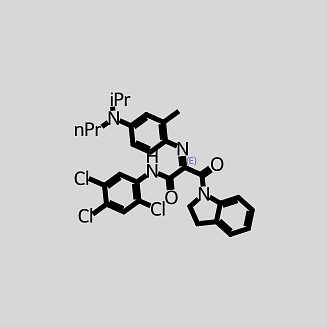 CCCN(c1ccc(/N=C(\C(=O)Nc2cc(Cl)c(Cl)cc2Cl)C(=O)N2CCc3ccccc32)c(C)c1)C(C)C